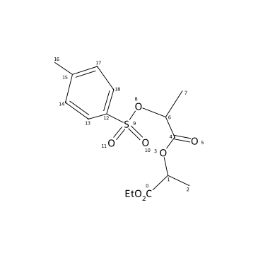 CCOC(=O)C(C)OC(=O)C(C)OS(=O)(=O)c1ccc(C)cc1